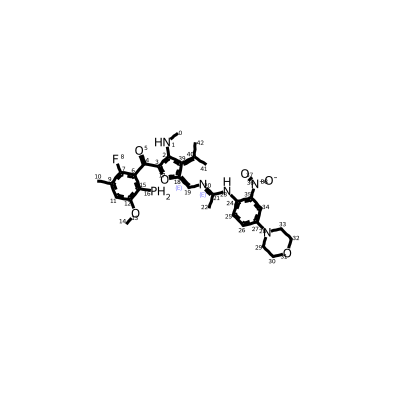 CNc1c(C(=O)c2c(F)c(C)cc(OC)c2P)o/c(=C/N=C(\C)Nc2ccc(N3CCOCC3)cc2[N+](=O)[O-])c1=C(C)C